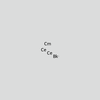 [Bk].[Ce].[Ce].[Cm]